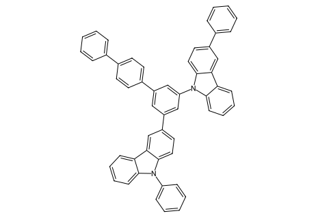 c1ccc(-c2ccc(-c3cc(-c4ccc5c(c4)c4ccccc4n5-c4ccccc4)cc(-n4c5ccccc5c5cc(-c6ccccc6)ccc54)c3)cc2)cc1